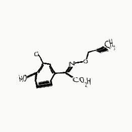 C=CCON=C(C(=O)O)c1ccc(O)c(Cl)c1